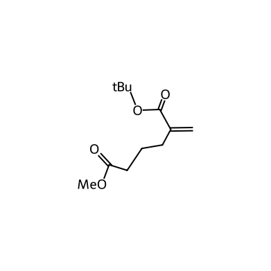 C=C(CCCC(=O)OC)C(=O)OC(C)(C)C